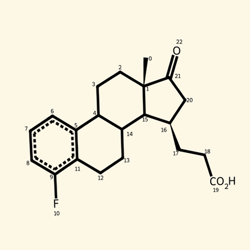 C[C@]12CCC3c4cccc(F)c4CCC3C1[C@H](CCC(=O)O)CC2=O